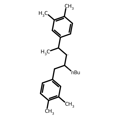 CCCCC([CH]C(C)c1ccc(C)c(C)c1)Cc1ccc(C)c(C)c1